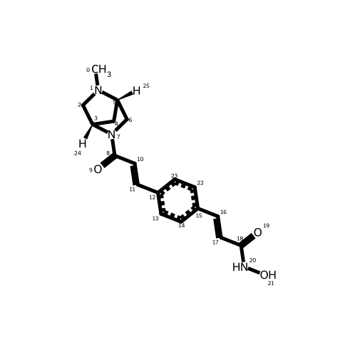 CN1C[C@@H]2C[C@H]1CN2C(=O)C=Cc1ccc(C=CC(=O)NO)cc1